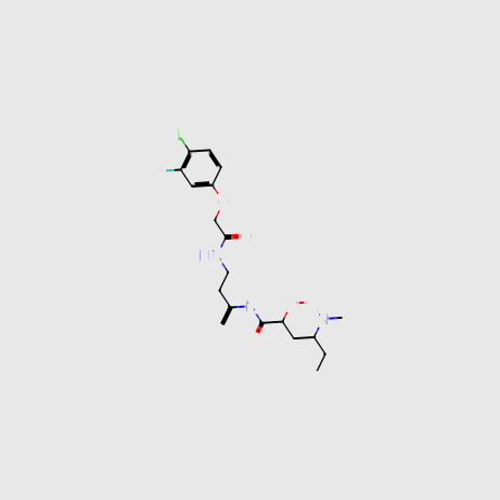 C=C(CCNC(=O)COc1ccc(Cl)c(F)c1)NC(=O)C1CC(CC)N(C)OO1